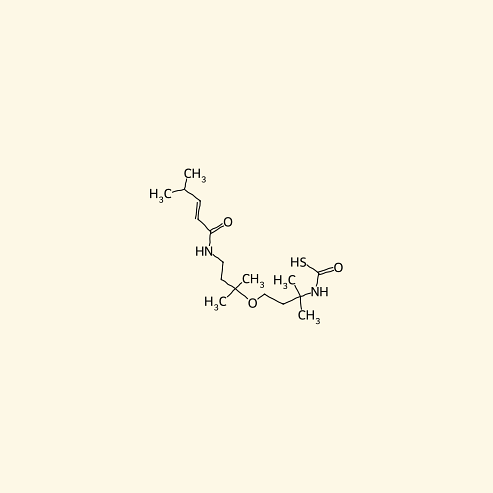 CC(C)/C=C/C(=O)NCCC(C)(C)OCCC(C)(C)NC(=O)S